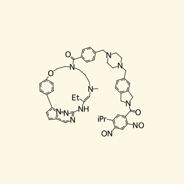 CC/C1=C\N(C)CCCN(C(=O)c2ccc(CN3CCN(Cc4ccc5c(c4)CN(C(=O)c4cc(C(C)C)c(N=O)cc4N=O)C5)CC3)cc2)CCOc2ccc(cc2)-c2ccc3cnc(nn23)N1